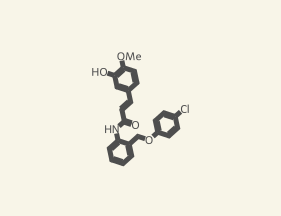 COc1ccc(C=CC(=O)Nc2ccccc2COc2ccc(Cl)cc2)cc1O